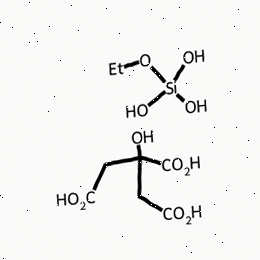 CCO[Si](O)(O)O.O=C(O)CC(O)(CC(=O)O)C(=O)O